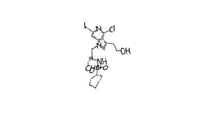 O=CC[C@H](Cn1cc(CCO)c2c(Cl)nc(I)cc21)NS(=O)(=O)C1CCCCC1